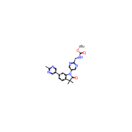 Cc1ncc(-c2ccc3c(c2)N(c2cnc(CNC(=O)OC(C)(C)C)nc2)C(=O)C3(C)C)cn1